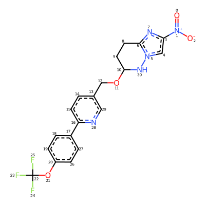 O=[N+]([O-])c1cn2c(n1)CCC(OCc1ccc(-c3ccc(OC(F)(F)F)cc3)nc1)N2